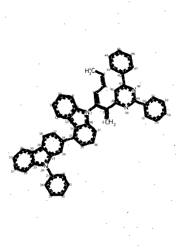 C=C(/C(=C\C=C/C)n1c2ccccc2c2c(-c3ccc4c5ccccc5n(-c5ccccc5)c4c3)cccc21)c1cc(-c2ccccc2)nc(-c2ccccc2)n1